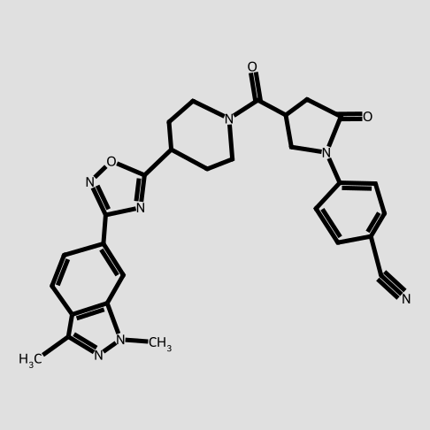 Cc1nn(C)c2cc(-c3noc(C4CCN(C(=O)C5CC(=O)N(c6ccc(C#N)cc6)C5)CC4)n3)ccc12